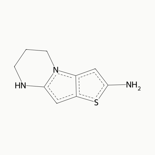 Nc1cc2c(cc3n2CCCN3)s1